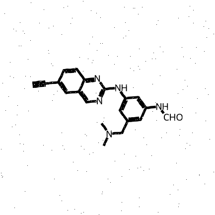 C#Cc1ccc2nc(Nc3cc(CN(C)C)cc(NC=O)c3)ncc2c1